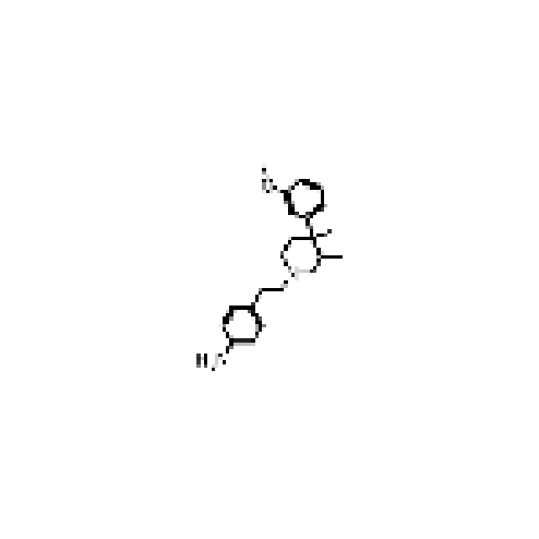 COc1cccc(C2(C)CCN(CCc3ccc(N)cc3)CC2C)c1